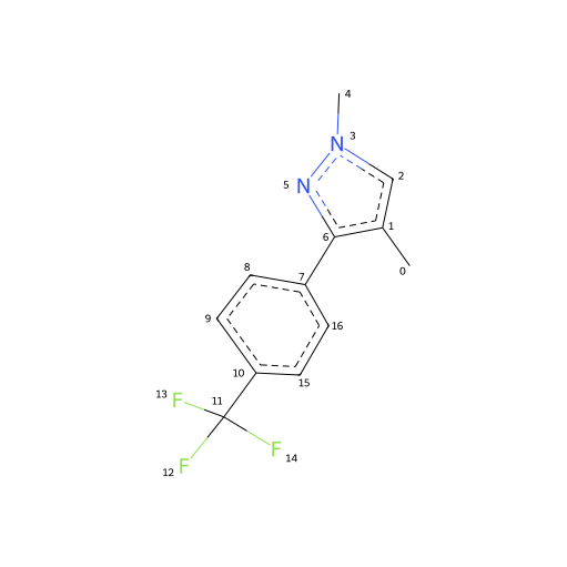 Cc1cn(C)nc1-c1ccc(C(F)(F)F)cc1